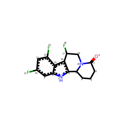 O=C1CCCC2c3[nH]c4cc(F)cc(F)c4c3C(F)CN12